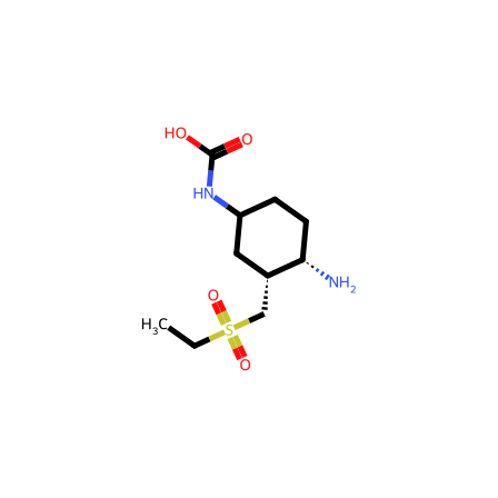 CCS(=O)(=O)C[C@@H]1CC(NC(=O)O)CC[C@@H]1N